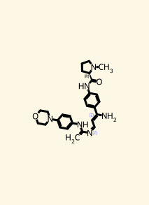 C=C(/N=C\C=C(/N)c1ccc(NC(=O)[C@H]2CCCN2C)cc1)Nc1ccc(N2CCOCC2)cc1